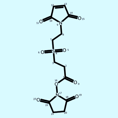 O=C(CCS(=O)(=O)CCN1C(=O)C=CC1=O)ON1C(=O)CCC1=O